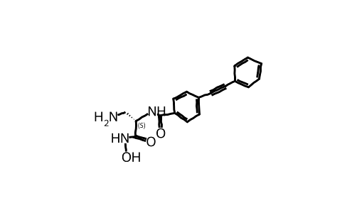 NC[C@H](NC(=O)c1ccc(C#Cc2ccccc2)cc1)C(=O)NO